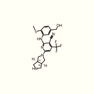 CSc1ccc(CO)cc1Nc1nc(N2C[C@H]3CNC[C@H]3C2)cc(C(F)(F)F)c1C#N